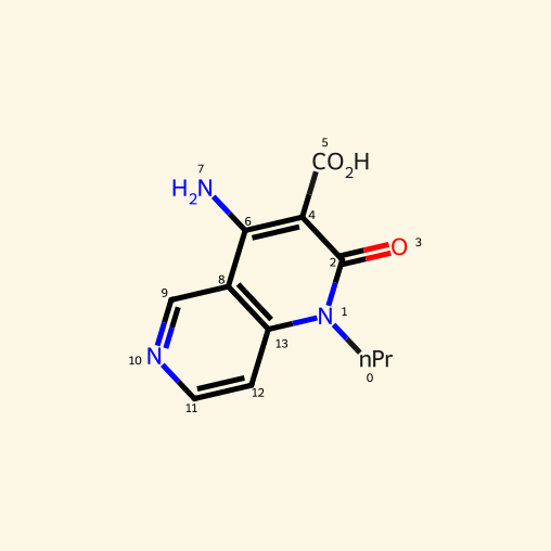 CCCn1c(=O)c(C(=O)O)c(N)c2cnccc21